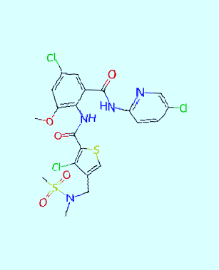 COc1cc(Cl)cc(C(=O)Nc2ccc(Cl)cn2)c1NC(=O)c1scc(CN(C)S(C)(=O)=O)c1Cl